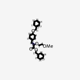 COCCO/C(=C\c1ccc(OCc2ccccc2)cc1)C(=O)OCc1ccccc1